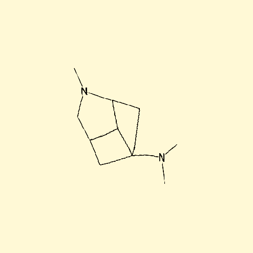 CN1CC2CC3(N(C)C)CC1C23